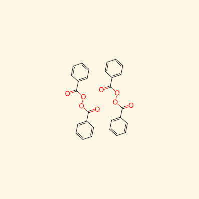 O=C(OOC(=O)c1ccccc1)c1ccccc1.O=C(OOC(=O)c1ccccc1)c1ccccc1